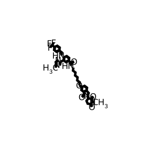 CN1C(=O)CCC(N2Cc3ccc(OCCCCCCCNC(=O)c4ccc(NCc5ccc(C(F)(F)F)cc5)c(-c5cn(C)cn5)c4)cc3C2=O)C1=O